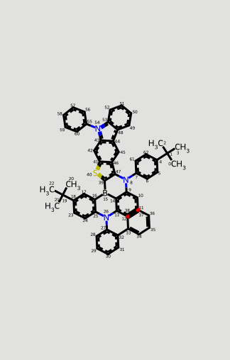 CC(C)(C)c1ccc(N2c3cc#cc4c3B(c3cc(C(C)(C)C)ccc3N4c3ccccc3C3=CC=CCC3)c3sc4cc5c(cc4c32)c2ccccc2n5-c2ccccc2)cc1